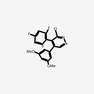 COc1cc(OC)cc(-c2cnnc(Cl)c2-c2c(F)cc(F)cc2F)c1